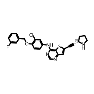 Fc1cccc(COc2ccc(Nc3ncnc4cc(C#C[C@@H]5CCCN5)sc34)cc2Cl)c1